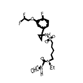 CCN(CCCCCS(=O)(=O)NC1(c2ccc(F)c(OCC(F)F)c2)CC1)C(=O)NC=O